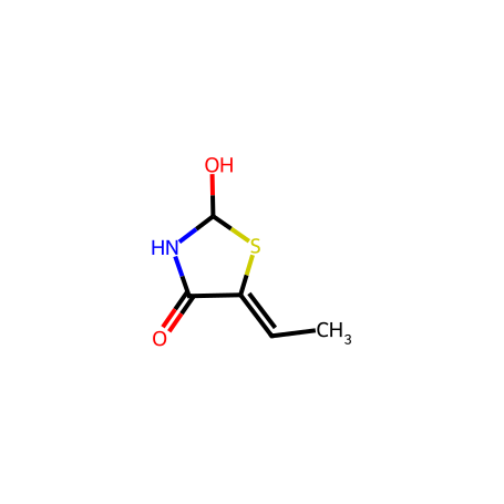 C/C=C1\SC(O)NC1=O